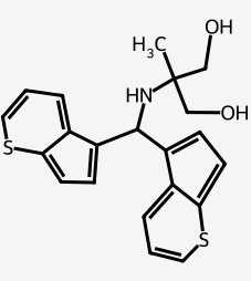 CC(CO)(CO)NC(c1ccc2scccc1-2)c1ccc2scccc1-2